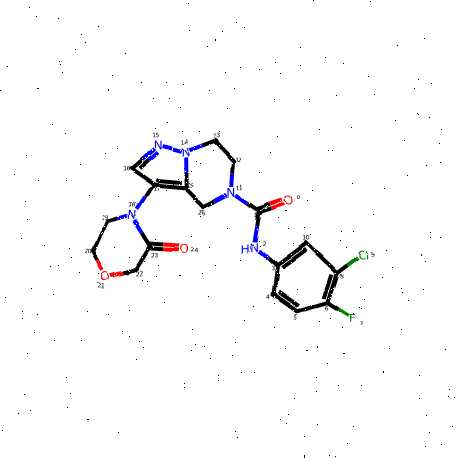 O=C(Nc1ccc(F)c(Cl)c1)N1CCn2ncc(N3CCOCC3=O)c2C1